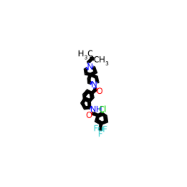 CC(C)CN1CCC2(CC1)CCN(C(=O)c1ccc3c(c1)C(NC(=O)c1cc(C(F)(F)F)ccc1Cl)CC3)CC2